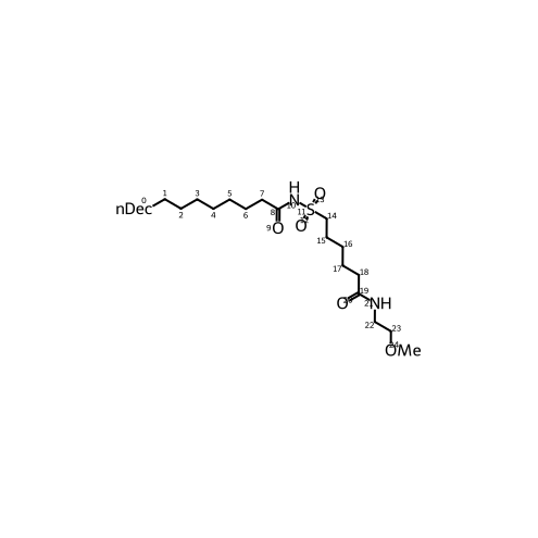 CCCCCCCCCCCCCCCCCC(=O)NS(=O)(=O)CCCCCC(=O)NCCOC